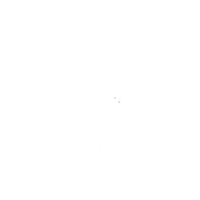 CC1(C)c2ccccc2-c2ccc(N(c3ccc(-c4ccccc4)cc3)c3cc4c5cc(-c6ccc7ccccc7c6)ccc5oc4c4ccccc34)cc21